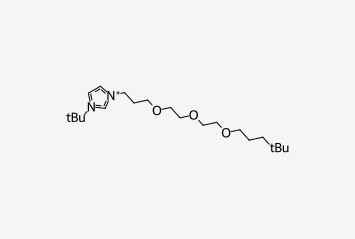 CC(C)(C)CCCOCCOCCOCCC[n+]1ccn(C(C)(C)C)c1